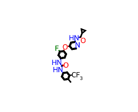 Cc1ccc(NC(=O)Nc2ccc(Oc3ccnc(NC(=O)C4CC4)c3)c(F)c2)cc1C(F)(F)F